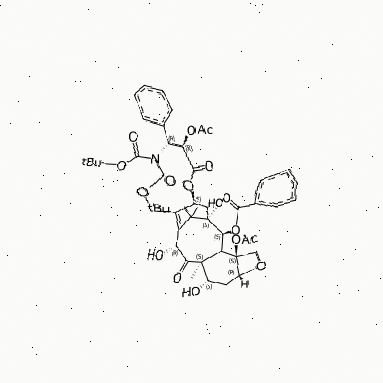 CC(=O)O[C@@H](C(=O)O[C@H]1C[C@@]2(O)[C@@H](OC(=O)c3ccccc3)C3[C@](C)(C(=O)[C@H](O)C(=C1C)C2(C)C)[C@@H](O)C[C@H]1OC[C@@]31OC(C)=O)[C@@H](c1ccccc1)N(C(=O)OC(C)(C)C)C(=O)OC(C)(C)C